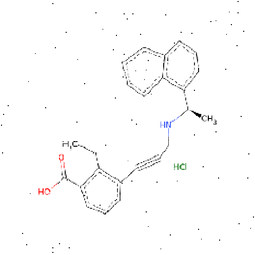 CCc1c(C#CCN[C@H](C)c2cccc3ccccc23)cccc1C(=O)O.Cl